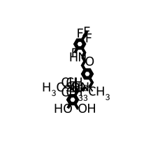 C[C@H](Cc1ccc(CC(=O)NCc2cc(C(F)(F)F)ccc2F)cc1)NC[C@@H](O[Si](C)(C)C(C)(C)C)c1ccc(O)c(CO)c1